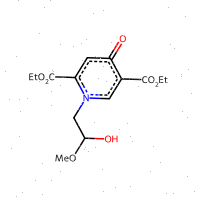 CCOC(=O)c1cn(CC(O)OC)c(C(=O)OCC)cc1=O